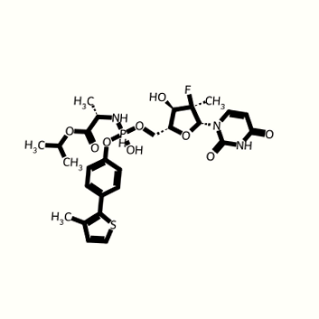 Cc1ccsc1-c1ccc(O[PH](O)(N[C@@H](C)C(=O)OC(C)C)OC[C@H]2O[C@@H](n3ccc(=O)[nH]c3=O)[C@](C)(F)[C@@H]2O)cc1